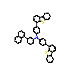 c1cc(-c2cccc3ccccc23)cc(N(c2ccc(-c3cccc4c3sc3ccccc34)cc2)c2ccc(-c3cccc4c3sc3ccccc34)cc2)c1